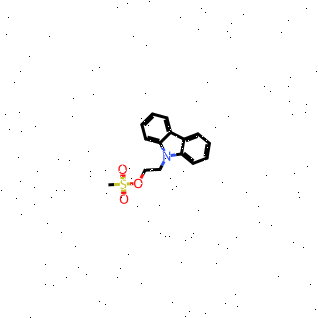 CS(=O)(=O)OCCn1c2ccccc2c2ccccc21